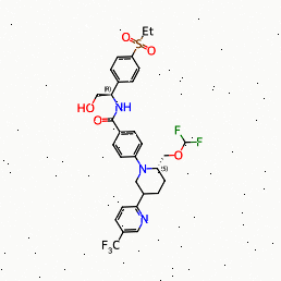 CCS(=O)(=O)c1ccc([C@H](CO)NC(=O)c2ccc(N3CC(c4ccc(C(F)(F)F)cn4)CC[C@H]3COC(F)F)cc2)cc1